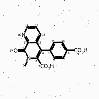 Cn1c(C(=O)O)c(-c2ccc(C(=O)O)cc2)c2cccnc2c1=O